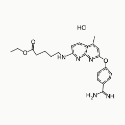 CCOC(=O)CCCCNc1ccc2c(C)cc(Oc3ccc(C(=N)N)cc3)nc2n1.Cl